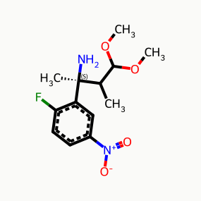 COC(OC)C(C)[C@](C)(N)c1cc([N+](=O)[O-])ccc1F